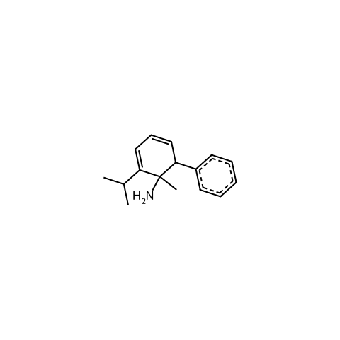 CC(C)C1=CC=CC(c2ccccc2)C1(C)N